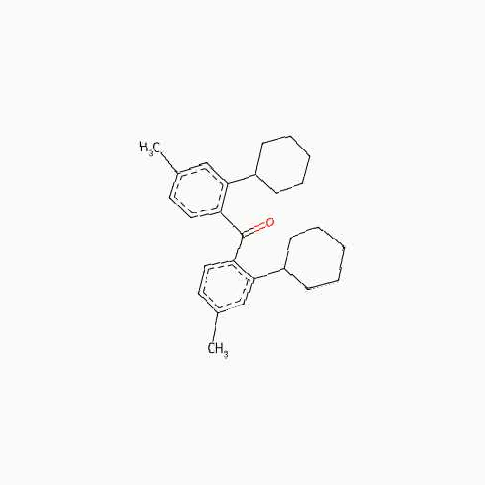 Cc1ccc(C(=O)c2ccc(C)cc2C2CCCCC2)c(C2CCCCC2)c1